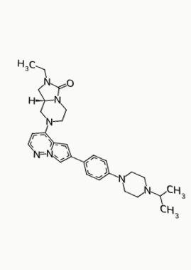 CCN1C[C@H]2CN(c3ccnn4cc(-c5ccc(N6CCN(C(C)C)CC6)cc5)cc34)CCN2C1=O